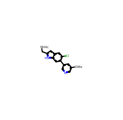 COc1cncc(-c2cc3[nH]c(CNC(C)=O)cc3cc2Cl)c1